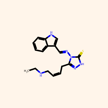 CCNC/C=C\Cc1n[nH]c(=S)n1/N=C/c1c[nH]c2ccccc12